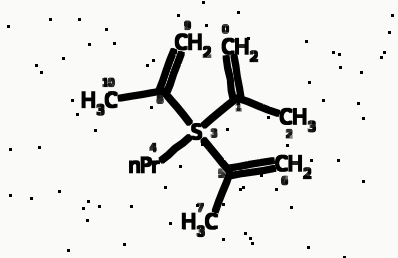 C=C(C)S(CCC)(C(=C)C)C(=C)C